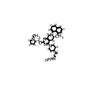 CCCN=C=NC1CCN(c2nc(OC[C@@H]3CCCN3C)nc3c2CCN(c2cccc4cccc(C)c24)C3)CC1